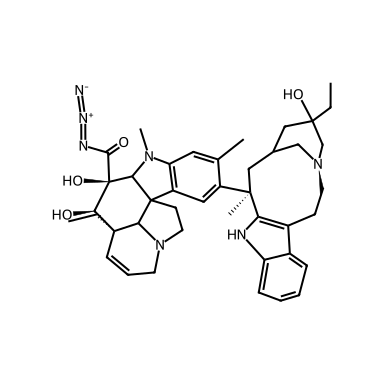 CCC1(O)CC2C[N@](CCc3c([nH]c4ccccc34)[C@@](C)(c3cc4c(cc3C)N(C)C3C45CCN4CC=C[C@](CC)(C45)[C@@H](O)[C@]3(O)C(=O)N=[N+]=[N-])C2)C1